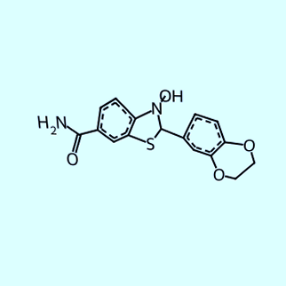 NC(=O)c1ccc2c(c1)SC(c1ccc3c(c1)OCCO3)N2O